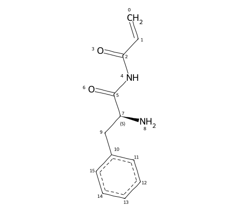 C=CC(=O)NC(=O)[C@@H](N)Cc1ccccc1